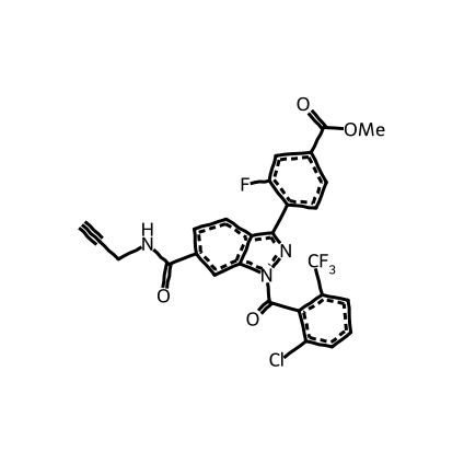 C#CCNC(=O)c1ccc2c(-c3ccc(C(=O)OC)cc3F)nn(C(=O)c3c(Cl)cccc3C(F)(F)F)c2c1